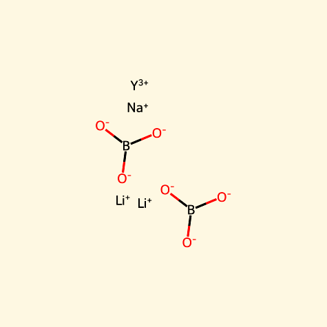 [Li+].[Li+].[Na+].[O-]B([O-])[O-].[O-]B([O-])[O-].[Y+3]